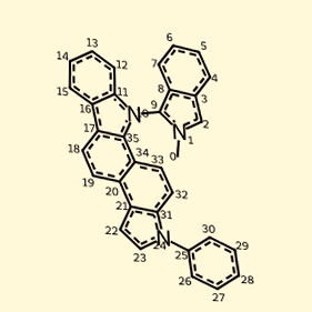 Cn1cc2ccccc2c1-n1c2ccccc2c2ccc3c4ccn(-c5ccccc5)c4ccc3c21